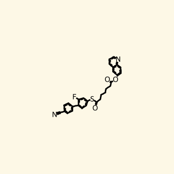 N#Cc1ccc(-c2ccc(SC(=O)CCCCCC(=O)Oc3ccc4ncccc4c3)cc2F)cc1